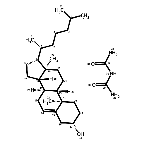 CC(C)CCC[C@@H](C)[C@H]1CC[C@H]2[C@@H]3CC=C4C[C@@H](O)CC[C@]4(C)[C@H]3CC[C@]12C.NC(=O)NC(N)=O